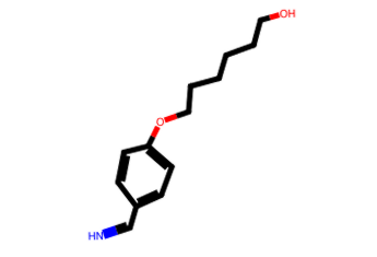 N=Cc1ccc(OCCCCCCO)cc1